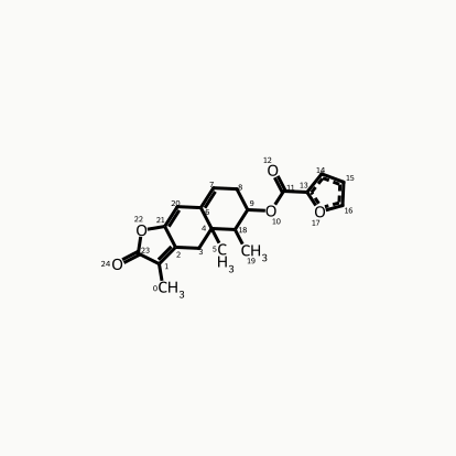 CC1=C2CC3(C)C(=CCC(OC(=O)c4ccco4)C3C)C=C2OC1=O